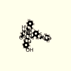 C=C(Sc1cccc(CN2C[C@@H]3N(C(=C)NCc4ccccc4)NCC(=O)N3[C@@H](Cc3ccc(O)cc3)C2=O)c1C)N1CCOCC1